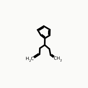 C=CC[C](CC=C)c1ccccc1